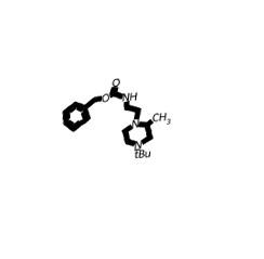 CC1CN(C(C)(C)C)CCN1CCNC(=O)OCc1ccccc1